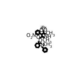 CC1=C(C(=O)OCC2(CN(C)Cc3ccccc3)CCCCC2)C(c2cccc([N+](=O)[O-])c2)C(C(=O)OC(C)C)=C(C)N1